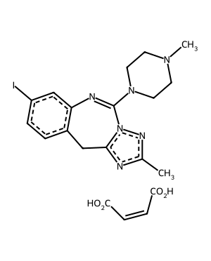 Cc1nc2n(n1)C(N1CCN(C)CC1)=Nc1cc(I)ccc1C2.O=C(O)/C=C\C(=O)O